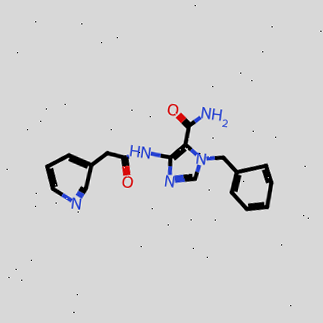 NC(=O)c1c(NC(=O)Cc2cccnc2)ncn1Cc1ccccc1